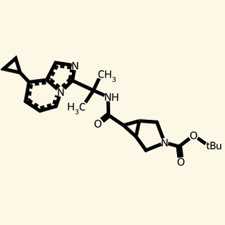 CC(C)(C)OC(=O)N1CC2C(C1)C2C(=O)NC(C)(C)c1ncc2c(C3CC3)cccn12